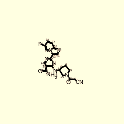 N#CCC(=O)N1CCCC(Nc2nc(-c3cnc4ccc(F)cn34)ncc2C(N)=O)C1